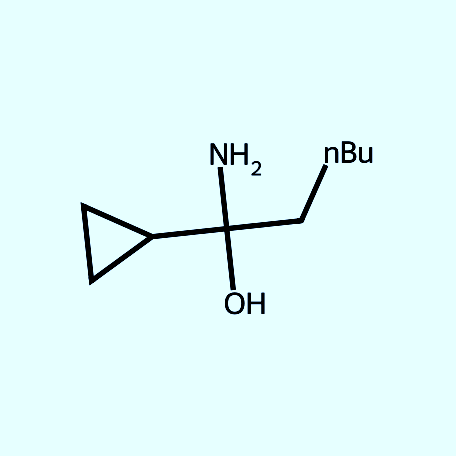 CCCCCC(N)(O)C1CC1